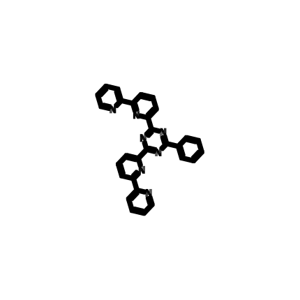 c1ccc(-c2nc(-c3cccc(-c4ccccn4)n3)nc(-c3cccc(-c4ccccn4)n3)n2)cc1